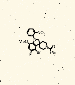 COc1cc(F)c(Br)c2c1N(c1ccccc1[N+](=O)[O-])CC21CCN(C(=O)C(C)(C)C)CC1